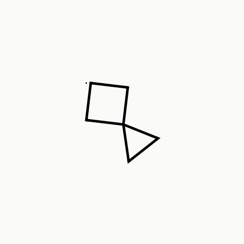 [CH]1CC2(C1)CC2